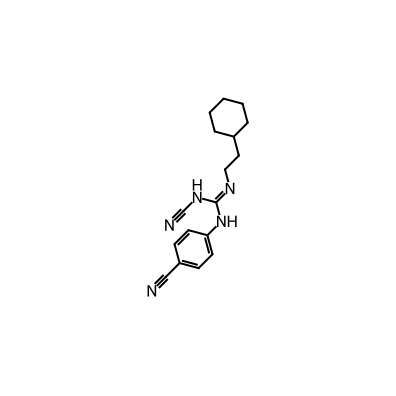 N#CNC(=NCCC1CCCCC1)Nc1ccc(C#N)cc1